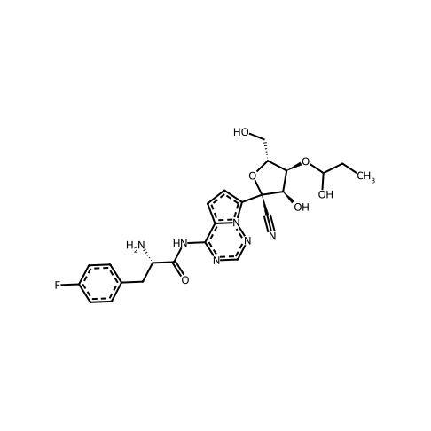 CCC(O)O[C@H]1[C@@H](O)[C@](C#N)(c2ccc3c(NC(=O)[C@@H](N)Cc4ccc(F)cc4)ncnn23)O[C@@H]1CO